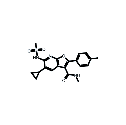 CNC(=O)c1c(-c2ccc(C)cc2)oc2nc(NS(C)(=O)=O)c(C3CC3)cc12